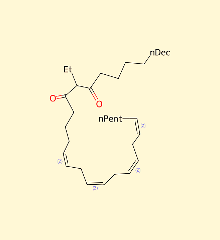 CCCCC/C=C\C/C=C\C/C=C\C/C=C\CCCC(=O)C(CC)C(=O)CCCCCCCCCCCCCC